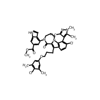 COC(=O)c1cc(N2CCCn3c(c(CCCOc4cc(C)c(Cl)c(C)c4)c4ccc(Cl)c(-c5c(C)nn(C)c5C)c43)C2=O)c2cc[nH]c2c1